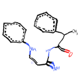 CC(C(=O)NC(=N)/C=C\Nc1ccccc1)c1ccccc1